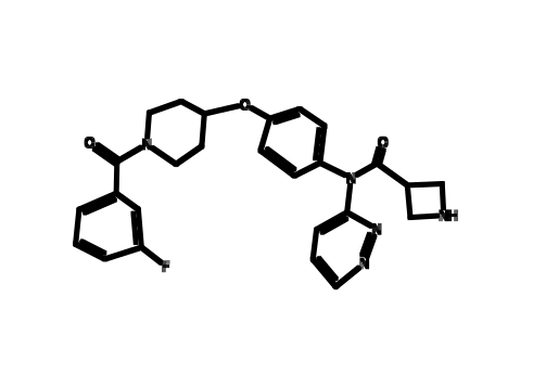 O=C(c1cccc(F)c1)N1CCC(Oc2ccc(N(C(=O)C3CNC3)c3cccnn3)cc2)CC1